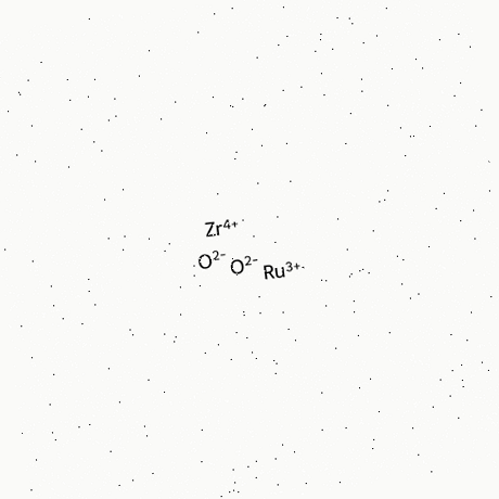 [O-2].[O-2].[Ru+3].[Zr+4]